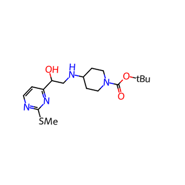 CSc1nccc(C(O)CNC2CCN(C(=O)OC(C)(C)C)CC2)n1